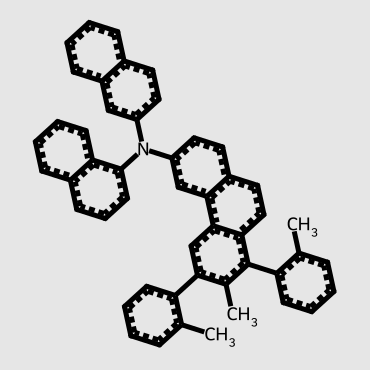 Cc1ccccc1-c1cc2c(ccc3ccc(N(c4ccc5ccccc5c4)c4cccc5ccccc45)cc32)c(-c2ccccc2C)c1C